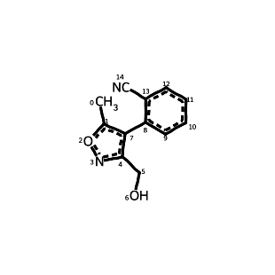 Cc1onc(CO)c1-c1ccccc1C#N